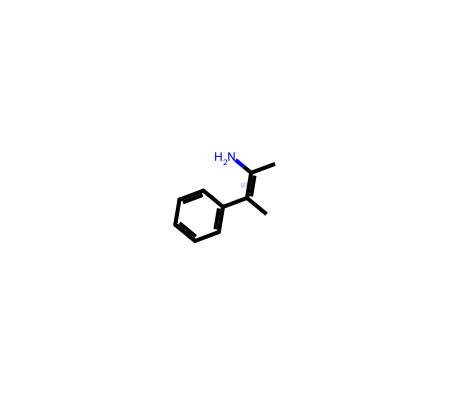 C/C(N)=C(\C)c1ccccc1